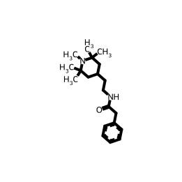 CN1C(C)(C)CC(CCNC(=O)Cc2ccccc2)CC1(C)C